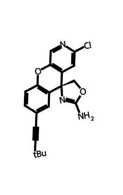 CC(C)(C)C#Cc1ccc2c(c1)[C@]1(COC(N)=N1)c1cc(Cl)ncc1O2